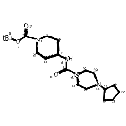 CC(C)(C)OC(=O)N1CCC(NC(=O)N2CCN(C3CCCC3)CC2)CC1